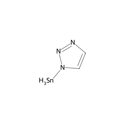 [SnH3][n]1ccnn1